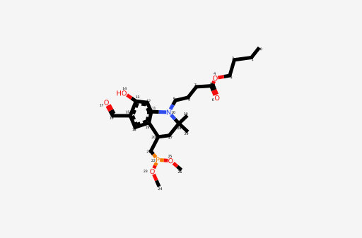 CCCCOC(=O)CCCN1c2cc(O)c(C=O)cc2C(CP(OC)OC)CC1(C)C